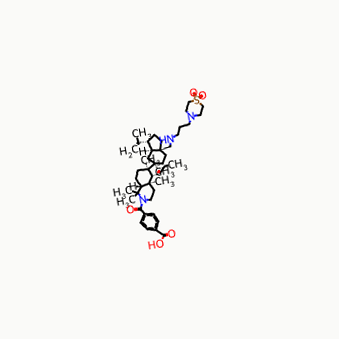 C=C(C)[C@@H]1CC[C@]2(CNCCCN3CCS(=O)(=O)CC3)CC[C@@](C)([C@]3(C)CC[C@H]4C(C)(C)N(C(=O)c5ccc(C(=O)O)cc5)CC[C@]4(C)[C@H]3CCC)C[C@@H]12